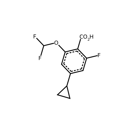 O=C(O)c1c(F)cc(C2CC2)cc1OC(F)F